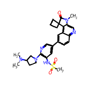 CN1C(=O)C2(CCC2)c2c1cnc1ccc(-c3cnc(N4CCC(N(C)C)C4)c(NS(C)(=O)=O)c3)cc21